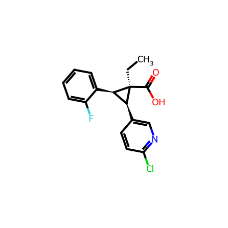 CC[C@@]1(C(=O)O)[C@H](c2ccccc2F)[C@@H]1c1ccc(Cl)nc1